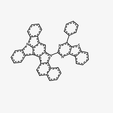 c1ccc(-c2nc(-n3c4cc5c6ccccc6n6c7ccccc7c(c4c4ccc7ccccc7c43)c56)nc3c2sc2ccccc23)cc1